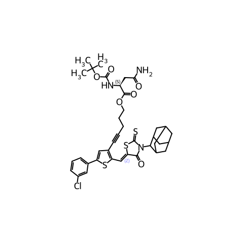 CC(C)(C)OC(=O)N[C@@H](CC(N)=O)C(=O)OCCCC#Cc1cc(-c2cccc(Cl)c2)sc1/C=C1\SC(=S)N(C2C3CC4CC(C3)CC2C4)C1=O